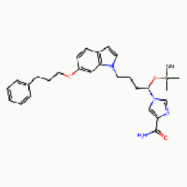 CC(C)(C)[Si](C)(C)O[C@H](CCCn1ccc2ccc(OCCCc3ccccc3)cc21)n1cnc(C(N)=O)c1